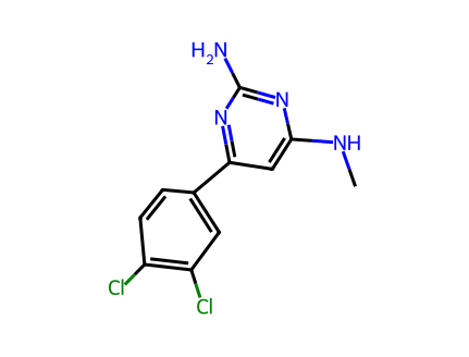 CNc1cc(-c2ccc(Cl)c(Cl)c2)nc(N)n1